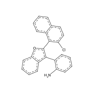 Nc1ccccc1-c1c(-c2c(Cl)ccc3ccccc23)oc2ccccc12